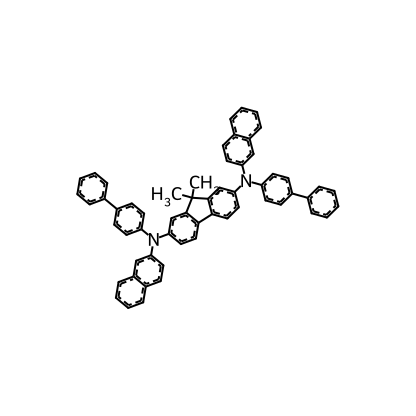 CC1(C)c2cc(N(c3ccc(-c4ccccc4)cc3)c3ccc4ccccc4c3)ccc2-c2ccc(N(c3ccc(-c4ccccc4)cc3)c3ccc4ccccc4c3)cc21